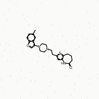 Cc1ccc2occ(N3CCN(CCc4cc5c(s4)CCCC(=O)N5)CC3)c2c1